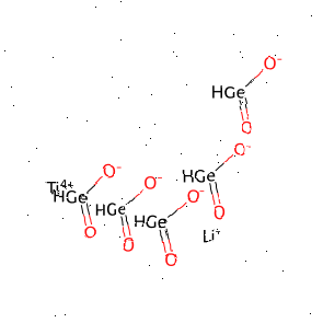 [Li+].[O]=[GeH][O-].[O]=[GeH][O-].[O]=[GeH][O-].[O]=[GeH][O-].[O]=[GeH][O-].[Ti+4]